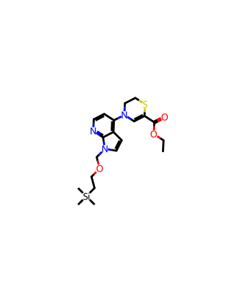 CCOC(=O)C1=CN(c2ccnc3c2ccn3COCC[Si](C)(C)C)CCS1